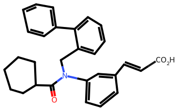 O=C(O)C=Cc1cccc(N(Cc2ccccc2-c2ccccc2)C(=O)C2CCCCC2)c1